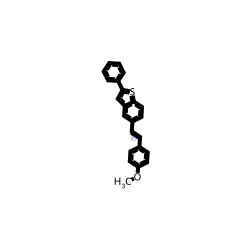 COc1ccc(/C=C/c2ccc3sc(-c4ccccc4)cc3c2)cc1